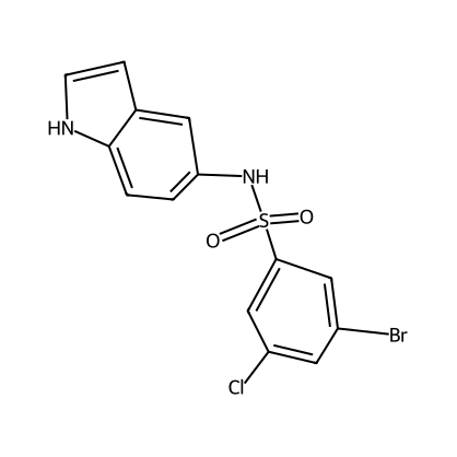 O=S(=O)(Nc1ccc2[nH]ccc2c1)c1cc(Cl)cc(Br)c1